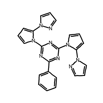 c1ccc(-c2nc(-n3cccc3-n3cccn3)nc(-n3cccc3-n3cccn3)n2)cc1